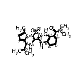 Cc1ccc([C@H](NC2=NS(=O)(=O)N=C2Nc2cccc(C(=O)N(C)C)c2O)C(C)C)s1